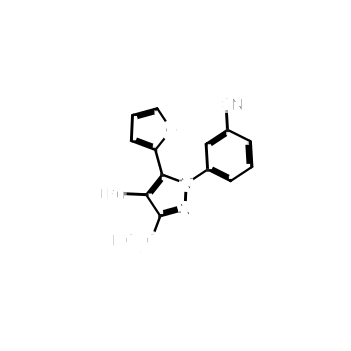 CC(C)(C)c1c(C(=O)O)nn(-c2cccc(C#N)c2)c1-c1ccco1